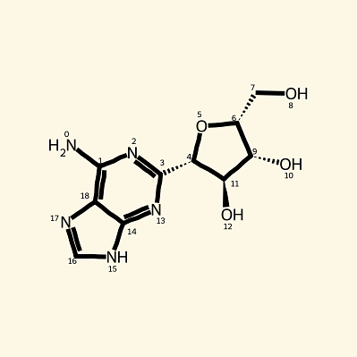 Nc1nc([C@@H]2O[C@H](CO)[C@H](O)[C@H]2O)nc2[nH]cnc12